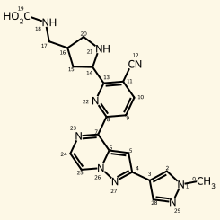 Cn1cc(-c2cc3c(-c4ccc(C#N)c(C5CC(CNC(=O)O)CN5)n4)nccn3n2)cn1